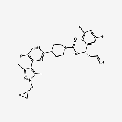 Cc1nn(CC2CC2)c(C)c1-c1nc(N2CCN(C(=O)N[C@@H](CC=N)c3cc(F)cc(F)c3)CC2)ncc1F